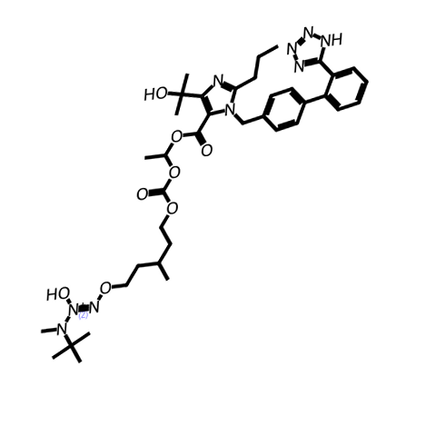 CCCc1nc(C(C)(C)O)c(C(=O)OC(C)OC(=O)OCCC(C)CCO/N=[N+](\O)N(C)C(C)(C)C)n1Cc1ccc(-c2ccccc2-c2nnn[nH]2)cc1